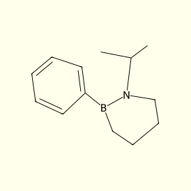 CC(C)N1CCCCB1c1ccccc1